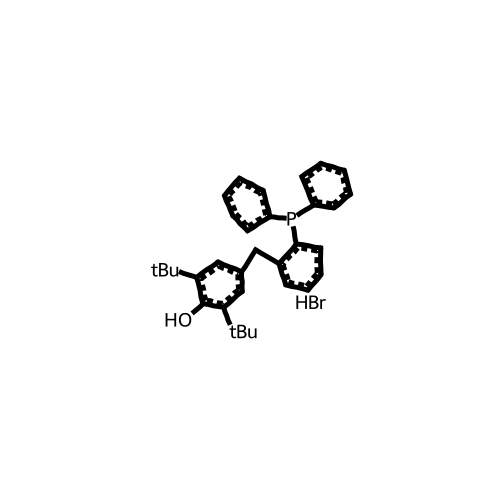 Br.CC(C)(C)c1cc(Cc2ccccc2P(c2ccccc2)c2ccccc2)cc(C(C)(C)C)c1O